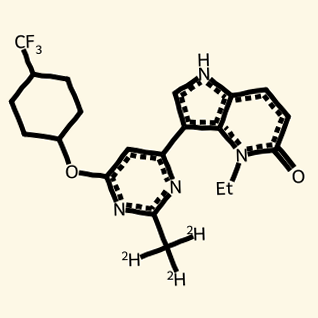 [2H]C([2H])([2H])c1nc(OC2CCC(C(F)(F)F)CC2)cc(-c2c[nH]c3ccc(=O)n(CC)c23)n1